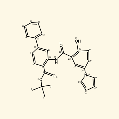 CC(C)(C)OC(=O)c1ccc(-c2ccccc2)cc1NC(=O)c1cc(-n2ccnc2)ccc1O